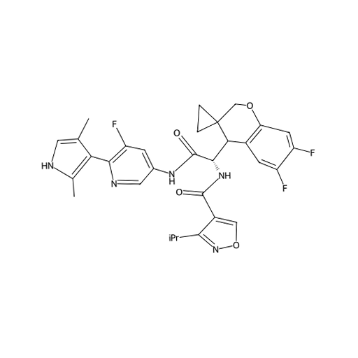 Cc1c[nH]c(C)c1-c1ncc(NC(=O)[C@@H](NC(=O)c2conc2C(C)C)C2c3cc(F)c(F)cc3OCC23CC3)cc1F